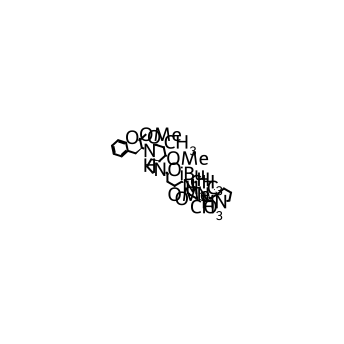 CC[C@H](C)[C@@H]([C@@H](CC(=O)N1CCC[C@H]1[C@H](OC)[C@@H](C)C(=O)N[C@@H](Cc1ccccc1)C(=O)OC)OC)N(C)C(=O)[C@H](C)NC(=O)[C@@]1(C)CCCN1